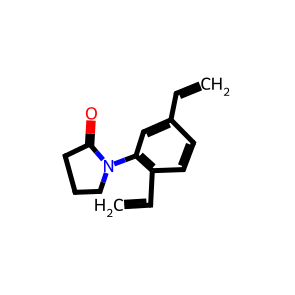 C=Cc1ccc(C=C)c(N2CCCC2=O)c1